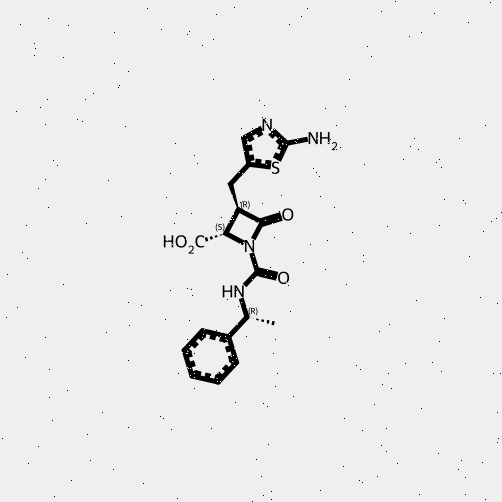 C[C@@H](NC(=O)N1C(=O)[C@H](Cc2cnc(N)s2)[C@H]1C(=O)O)c1ccccc1